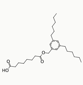 CCCCCCc1cc(CCCCCC)cc(COC(=O)CCCCCCC(=O)O)c1